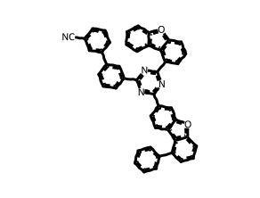 N#Cc1cccc(-c2cccc(-c3nc(-c4ccc5c(c4)oc4cccc(-c6ccccc6)c45)nc(-c4cccc5oc6ccccc6c45)n3)c2)c1